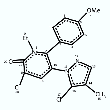 CCn1c(-c2ccc(OC)cc2)c(-n2ncc(C)c2Cl)cc(Cl)c1=O